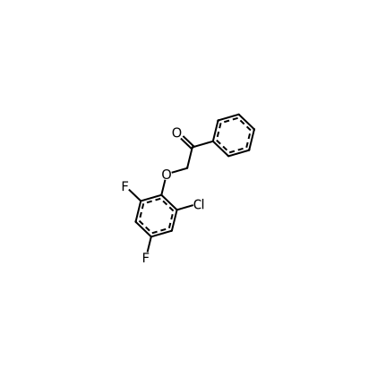 O=C(COc1c(F)cc(F)cc1Cl)c1ccccc1